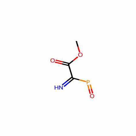 COC(=O)C(=N)P=O